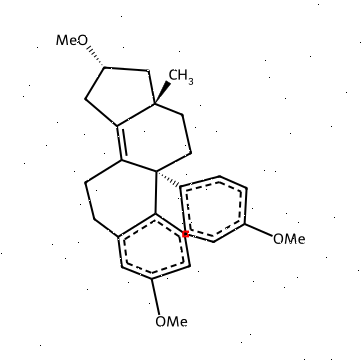 COc1ccc([C@@]23CC[C@@]4(C)C[C@@H](OC)CC4=C2CCc2cc(OC)ccc23)cc1